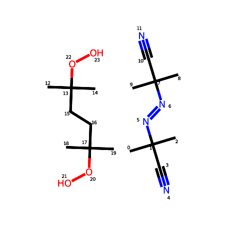 CC(C)(C#N)N=NC(C)(C)C#N.CC(C)(CCC(C)(C)OO)OO